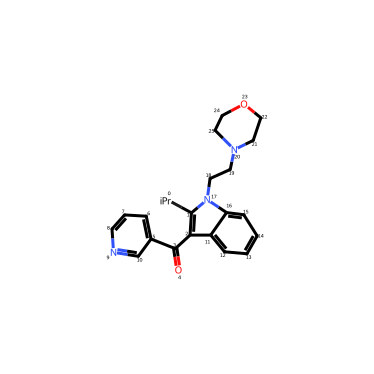 CC(C)c1c(C(=O)c2cccnc2)c2ccccc2n1CCN1CCOCC1